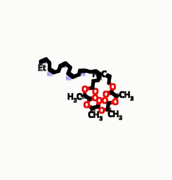 C=CCOC(=O)[C@H](C)OC(=O)[C@H](C)OC(=O)[C@H](C)OC(=O)[C@H](C)OC(=O)CC/C=C\C/C=C\C/C=C\C/C=C\C/C=C\C/C=C\CC